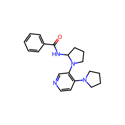 O=C(NC1CCCN1c1cnccc1N1CCCC1)c1ccccc1